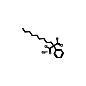 CCCCCCCCCC(C(=O)[O-])(C(=O)[O-])c1ccccc1.[Ca+2]